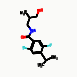 CC(CO)CNC(=O)c1cc(F)c(C(C)C)cc1F